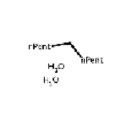 CCCCCCCCCCC.O.O